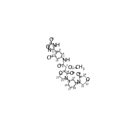 CCO[C@@H](C(=O)Nc1ccc(-c2noc(=O)[nH]2)c(Cl)c1)[C@H]1OCCN(c2cccc(N3CCOCC3=O)c2)C1=O